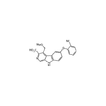 COCc1c(C(=O)O)ncc2[nH]c3ccc(Oc4ccccc4C#N)cc3c12